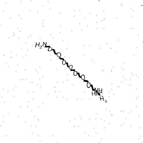 CNNCCOCCOCCOCCOCCOCCOCCOCCN